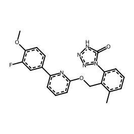 COc1ccc(-c2cccc(OCc3c(C)cccc3-n3nn[nH]c3=O)n2)cc1F